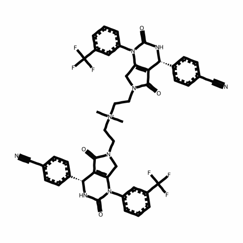 C[N+](C)(CCN1CC2=C(C1=O)[C@@H](c1ccc(C#N)cc1)NC(=O)N2c1cccc(C(F)(F)F)c1)CCN1CC2=C(C1=O)[C@@H](c1ccc(C#N)cc1)NC(=O)N2c1cccc(C(F)(F)F)c1